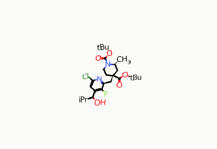 CC(C)C(O)c1cc(Cl)nc(C[C@@]2(C(=O)OC(C)(C)C)CCN(C(=O)OC(C)(C)C)[C@H](C)C2)c1F